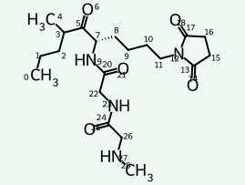 CCCC(C)C(=O)[C@H](CCCCN1C(=O)CCC1=O)NC(=O)CNC(=O)CNC